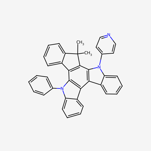 CC1(C)c2ccccc2-c2c1c1c(c3ccccc3n1-c1ccncc1)c1c3ccccc3n(-c3ccccc3)c21